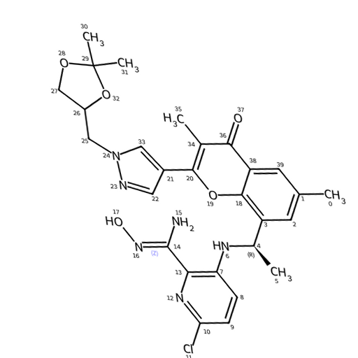 Cc1cc([C@@H](C)Nc2ccc(Cl)nc2/C(N)=N/O)c2oc(-c3cnn(CC4COC(C)(C)O4)c3)c(C)c(=O)c2c1